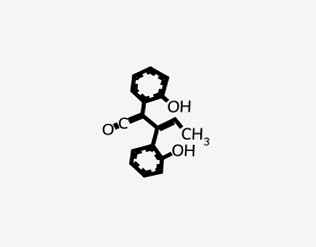 CC=C(C(=C=O)c1ccccc1O)c1ccccc1O